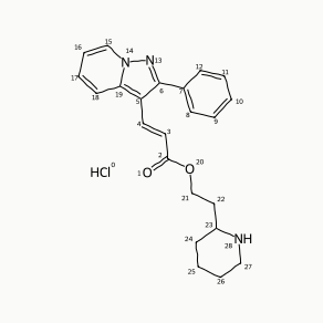 Cl.O=C(C=Cc1c(-c2ccccc2)nn2ccccc12)OCCC1CCCCN1